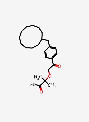 CCC(=O)C(C)(C)OCC(=O)c1ccc(CC2CCCCCCCCCC2)cc1